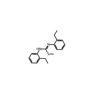 CCc1ccccc1/N=C(/Nc1ccccc1CC)SC